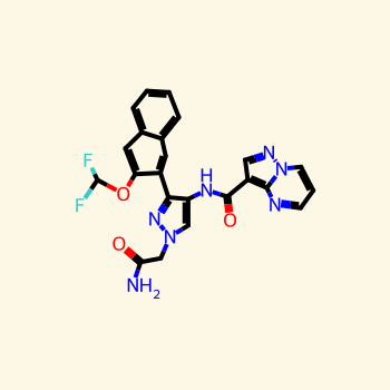 NC(=O)Cn1cc(NC(=O)c2cnn3cccnc23)c(-c2cc3ccccc3cc2OC(F)F)n1